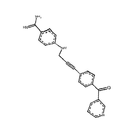 N=C(N)c1ccc(NCC#Cc2ccc(C(=O)c3cccnc3)cc2)cc1